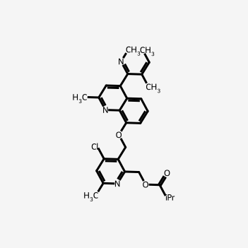 C/C=C(C)\C(=N/C)c1cc(C)nc2c(OCc3c(Cl)cc(C)nc3COC(=O)C(C)C)cccc12